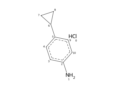 Cl.Nc1ccc(C2CC2)cc1